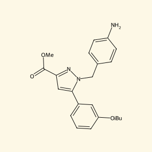 COC(=O)c1cc(-c2cccc(OCC(C)C)c2)n(Cc2ccc(N)cc2)n1